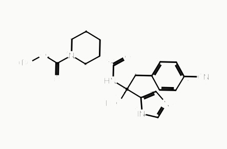 CC(C)(C)OC(=O)N1CCC[C@H](C(=O)NC(C)(Cc2ccc(C#N)cc2)c2cnc[nH]2)C1